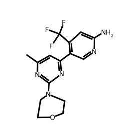 Cc1cc(-c2cnc(N)cc2C(F)(F)F)nc(N2CCOCC2)n1